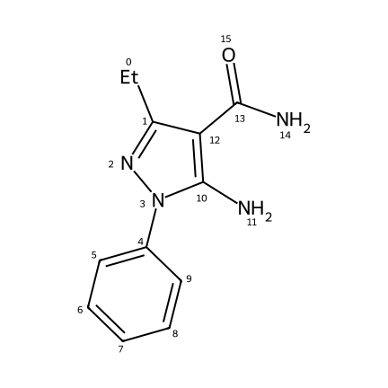 CCc1nn(-c2ccccc2)c(N)c1C(N)=O